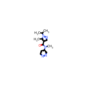 Cc1c(C(=O)N(C)c2ccnnc2)cnn1C(C)C